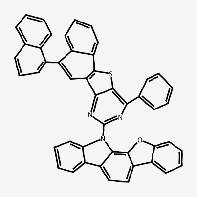 c1ccc(-c2nc(-n3c4ccccc4c4ccc5c6ccccc6oc5c43)nc3c2sc2c4ccccc4c(-c4cccc5ccccc45)cc32)cc1